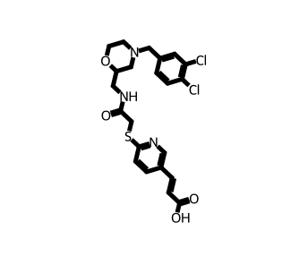 O=C(O)C=Cc1ccc(SCC(=O)NCC2CN(Cc3ccc(Cl)c(Cl)c3)CCO2)nc1